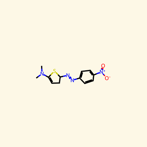 CN(C)C1=CCC(N=Nc2ccc([N+](=O)[O-])cc2)S1